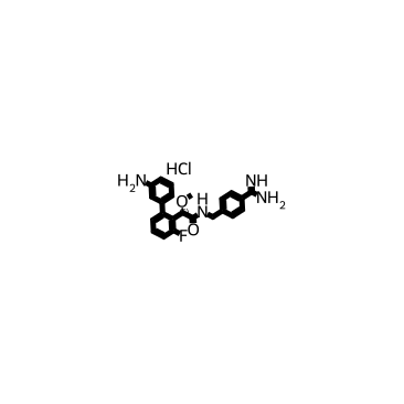 CO[C@H](C(=O)NCc1ccc(C(=N)N)cc1)c1c(F)cccc1-c1cccc(N)c1.Cl